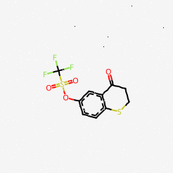 O=C1CCSc2ccc(OS(=O)(=O)C(F)(F)F)cc21